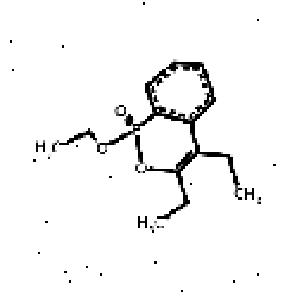 CCOP1(=O)OC(CC)=C(CC)c2ccccc21